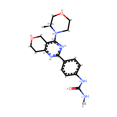 CCNC(=O)Nc1ccc(-c2nc3c(c(N4CCOC[C@@H]4C)n2)COCC3)cc1